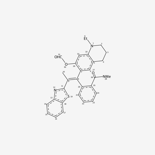 CCN1CCCc2cc(/C(=C(\C)c3nc4ccccc4s3)c3ccccc3C(=O)NC)c(OC=O)cc21